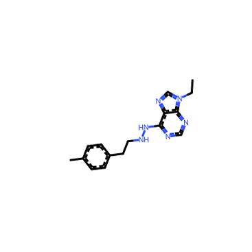 CCn1cnc2c(NNCCc3ccc(C)cc3)ncnc21